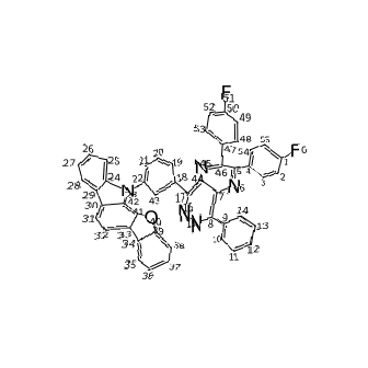 Fc1ccc(-c2nc3c(-c4ccccc4)nnc(-c4cccc(-n5c6ccccc6c6ccc7c8ccccc8oc7c65)c4)c3nc2-c2ccc(F)cc2)cc1